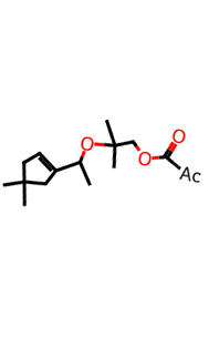 CC(=O)C(=O)OCC(C)(C)OC(C)C1=CCC(C)(C)C1